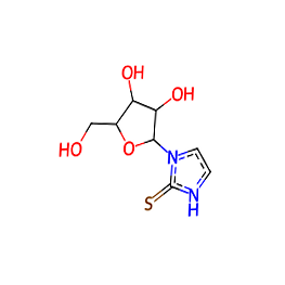 OCC1OC(n2cc[nH]c2=S)C(O)C1O